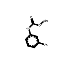 CC(=O)c1cccc(NC(=O)OC(C)(C)C)c1